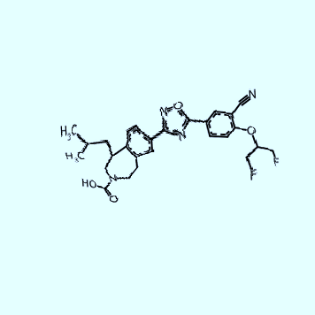 CC(C)CC1CN(C(=O)O)CCc2cc(-c3noc(-c4ccc(OC(CF)CF)c(C#N)c4)n3)ccc21